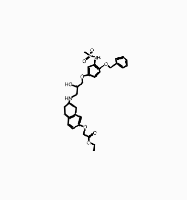 CCOC(=O)COc1ccc2c(c1)CC(NCC(O)COc1ccc(OCc3ccccc3)c(NS(C)(=O)=O)c1)CC2